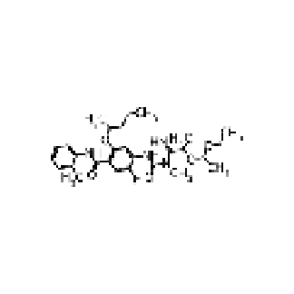 CCCC(C)Oc1cc(NC(=O)N(C)C(=N)C(C)OC(C)OCC)c(F)cc1C(=O)Nc1ccccc1C